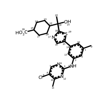 Cc1cc(Nc2ncc(Cl)c(C)n2)cc(-c2cnc(C(C)(O)C3CCC(C(=O)O)CC3)s2)c1